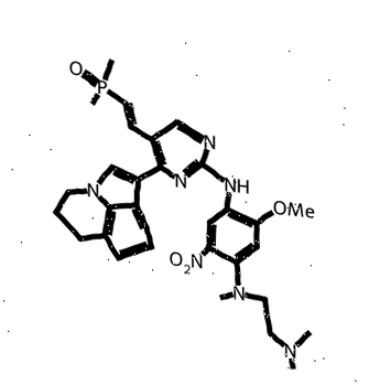 COc1cc(N(C)CCN(C)C)c([N+](=O)[O-])cc1Nc1ncc(C=CP(C)(C)=O)c(-c2cn3c4c(cccc24)CCC3)n1